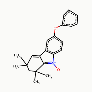 CC1(C)C=C2C(=[N+]([O-])c3ccc(Oc4ccccc4)cc32)C(C)(C)C1